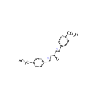 O=C(/C=C/c1ccc(C(=O)O)cc1)/C=C/c1ccc(C(=O)O)cc1